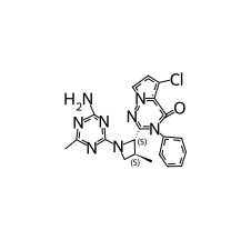 Cc1nc(N)nc(N2C[C@H](C)[C@H]2c2nn3ccc(Cl)c3c(=O)n2-c2ccccc2)n1